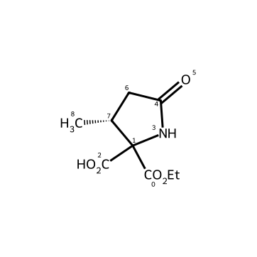 CCOC(=O)C1(C(=O)O)NC(=O)C[C@H]1C